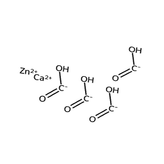 O=[C-]O.O=[C-]O.O=[C-]O.O=[C-]O.[Ca+2].[Zn+2]